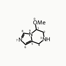 COC1CNCc2cncn21